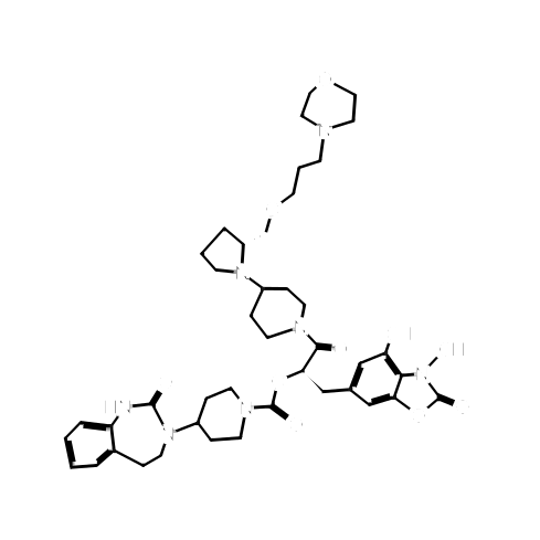 Cc1cc(C[C@@H](OC(=O)N2CCC(N3CCc4ccccc4NC3=O)CC2)C(=O)N2CCC(N3CCC[C@@H]3COCCCN3CCOCC3)CC2)cc2oc(=O)n(C)c12